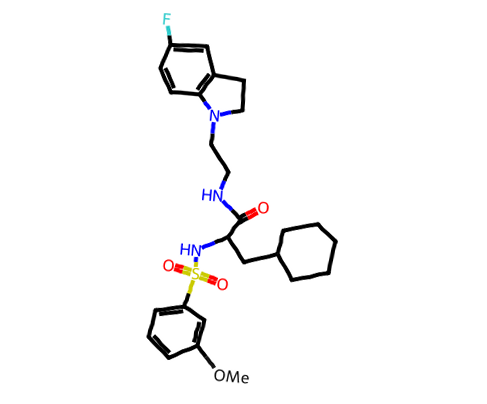 COc1cccc(S(=O)(=O)NC(CC2CCCCC2)C(=O)NCCN2CCc3cc(F)ccc32)c1